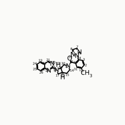 Cc1ccc(-n2nccn2)c(C(=O)N2CC[C@H]3CN(c4ncc5ccccc5n4)[C@H]3C2)c1